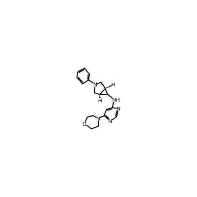 c1ccc(N2C[C@@H]3C(Nc4cc(N5CCOCC5)ncn4)[C@@H]3C2)cc1